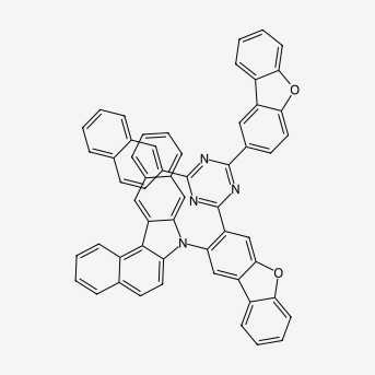 c1ccc2cc(-c3nc(-c4ccc5oc6ccccc6c5c4)nc(-c4cc5oc6ccccc6c5cc4-n4c5cc6ccccc6cc5c5c6ccccc6ccc54)n3)ccc2c1